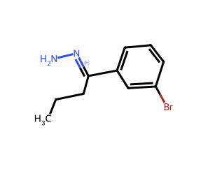 CCC/C(=N\N)c1cccc(Br)c1